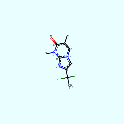 Cc1cn2cc(C(F)(F)C(F)(F)F)nc2n(C)c1=O